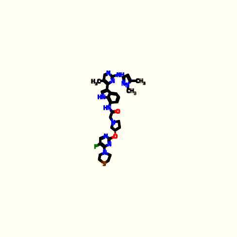 Cc1cnc(Nc2cc(C)n(C)n2)nc1-c1c[nH]c2c(NC(=O)CN3CC[C@H](Oc4ncc(F)c(N5CCSCC5)n4)C3)cccc12